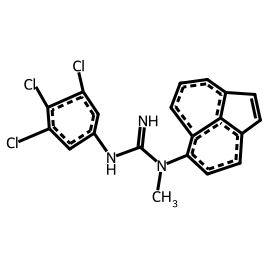 CN(C(=N)Nc1cc(Cl)c(Cl)c(Cl)c1)c1ccc2c3c(cccc13)C=C2